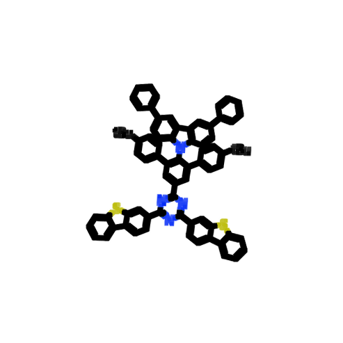 CC(C)(C)c1ccc(-c2cc(-c3nc(-c4ccc5c(c4)sc4ccccc45)nc(-c4ccc5c(c4)sc4ccccc45)n3)cc(-c3ccc(C(C)(C)C)cc3)c2-n2c3ccc(-c4ccccc4)cc3c3cc(-c4ccccc4)ccc32)cc1